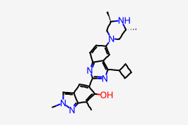 Cc1c(O)c(-c2nc(C3CCC3)c3cc(N4C[C@@H](C)N[C@H](C)C4)ccc3n2)cc2cn(C)nc12